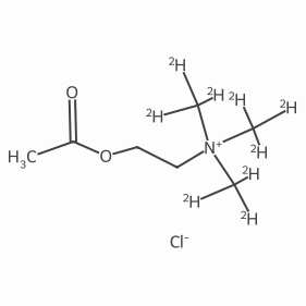 [2H]C([2H])([2H])[N+](CCOC(C)=O)(C([2H])([2H])[2H])C([2H])([2H])[2H].[Cl-]